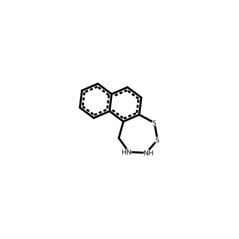 c1ccc2c3c(ccc2c1)SSNNC3